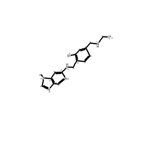 CCc1cc(CNCC(F)(F)F)ccc1CNc1cc2c(cn1)ncn2C